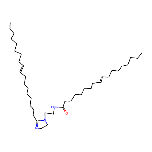 CCCCCCCCC=CCCCCCCCCC1=NCCN1CCNC(=O)CCCCCCCC=CCCCCCCCC